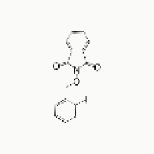 O=C1c2ccccc2C(=O)N1OCc1ccccc1I